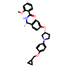 COc1ccccc1C(=O)N[C@@H](C)c1ccc(O[C@@H]2CCN(c3ccc(OCC4CC4)cc3)C2)cc1